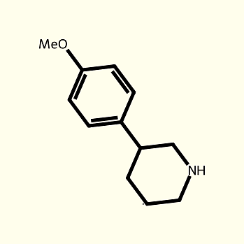 COc1ccc(C2C[CH]CNC2)cc1